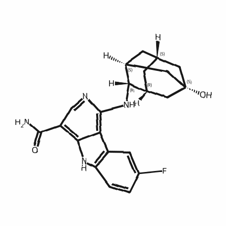 NC(=O)c1cnc(N[C@H]2[C@@H]3C[C@@H]4C[C@H]2C[C@@](O)(C4)C3)c2c1[nH]c1ccc(F)cc12